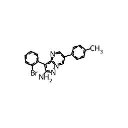 Cc1ccc(-c2cnc3c(-c4ccccc4Br)c(N)nn3c2)cc1